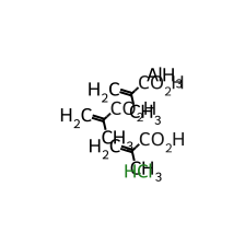 C=C(C)C(=O)O.C=C(C)C(=O)O.C=C(C)C(=O)O.Cl.[AlH3]